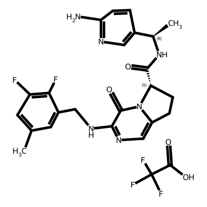 Cc1cc(F)c(F)c(CNc2ncc3n(c2=O)[C@H](C(=O)N[C@H](C)c2ccc(N)nc2)CC3)c1.O=C(O)C(F)(F)F